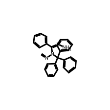 C=NN(/C(=N\N)c1ccccc1)C(c1ccccc1)(c1ccccc1)c1ccccc1